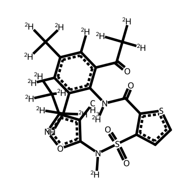 [2H]c1c(C(=O)C([2H])([2H])[2H])c(N([2H])C(=O)c2sccc2S(=O)(=O)N([2H])c2onc(C([2H])([2H])[2H])c2C)c(C([2H])([2H])[2H])c([2H])c1C([2H])([2H])[2H]